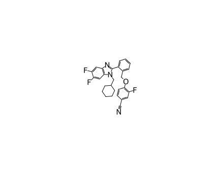 N#Cc1ccc(OCc2ccccc2-c2nc3cc(F)c(F)cc3n2CC2CCCCC2)c(F)c1